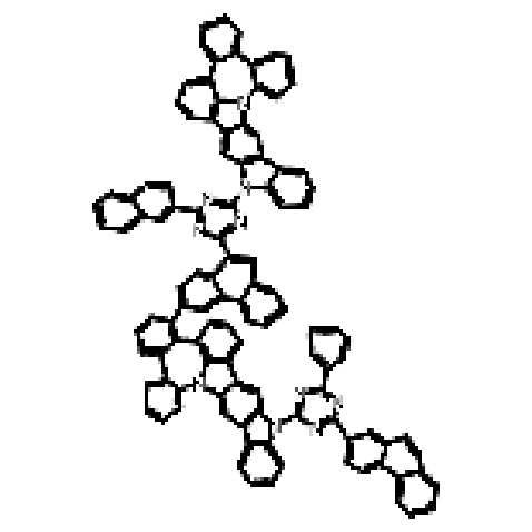 c1ccc(-c2nc(-c3ccc4c(ccc5ccccc54)c3)nc(-n3c4ccccc4c4cc5c(cc43)c3cccc4c3n5-c3ccccc3-c3cccc(-c5ccc6c(-c7nc(-c8ccc9ccccc9c8)nc(-n8c9ccccc9c9cc%10c(cc98)c8cccc9c8n%10-c8ccccc8-c8ccccc8-9)n7)cc7ccccc7c6c5)c3-4)n2)cc1